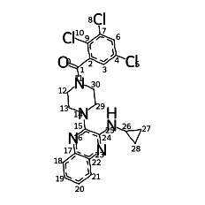 O=C(c1cc(Cl)cc(Cl)c1Cl)N1CCN(c2nc3ccccc3nc2NC2CC2)CC1